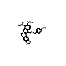 COc1ccc2c(COCc3ccc(O)cc3)c3[n+](cc2c1OC)CCc1cc2c(cc1-3)OCO2.[I-]